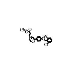 CC(C)c1cccc(Cl)c1COc1ccc(C2CN(CCC(=O)OC(C)(C)C)CCO2)cc1